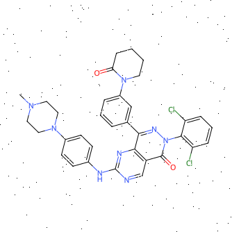 CN1CCN(c2ccc(Nc3ncc4c(=O)n(-c5c(Cl)cccc5Cl)nc(-c5cccc(N6CCCCC6=O)c5)c4n3)cc2)CC1